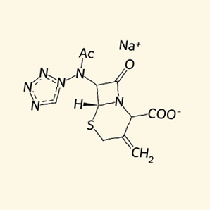 C=C1CS[C@@H]2C(N(C(C)=O)n3cnnn3)C(=O)N2C1C(=O)[O-].[Na+]